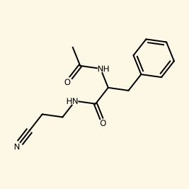 CC(=O)NC(Cc1ccccc1)C(=O)NCCC#N